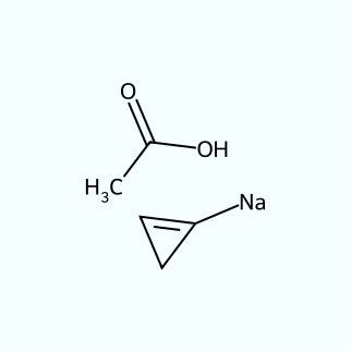 CC(=O)O.[Na][C]1=CC1